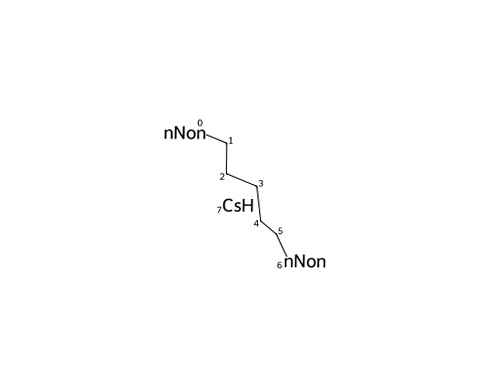 CCCCCCCCCCCCCCCCCCCCCCC.[CsH]